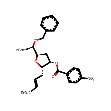 CCCCC[C@@H](OCc1ccccc1)[C@H]1C[C@H](OC(=O)c2ccc([N+](=O)[O-])cc2)[C@H](C/C=C/C(=O)OCC)O1